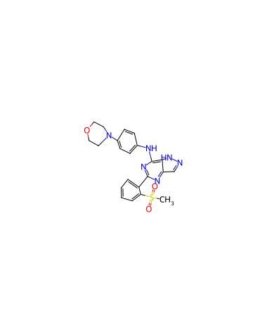 CS(=O)(=O)c1ccccc1-c1nc(Nc2ccc(N3CCOCC3)cc2)c2[nH]ncc2n1